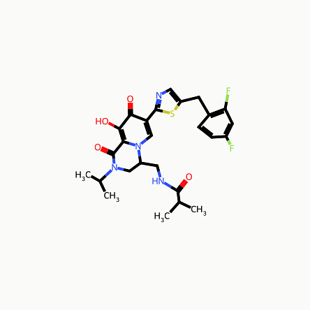 CC(C)C(=O)NCC1CN(C(C)C)C(=O)c2c(O)c(=O)c(-c3ncc(Cc4ccc(F)cc4F)s3)cn21